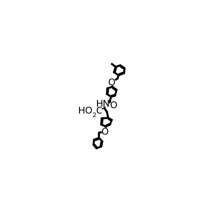 Cc1cccc(COc2ccc(C(=O)N[C@@H](Cc3ccc(OCc4ccccc4)cc3)C(=O)O)cc2)c1